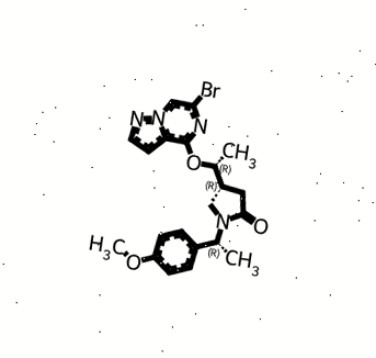 COc1ccc([C@@H](C)N2C[C@H]([C@@H](C)Oc3nc(Br)cn4nccc34)CC2=O)cc1